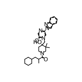 CC(CC1CCCCC1)C(=O)N1CCC(O)(Cn2cc(-n3cc4ccccc4n3)ncc2=O)C(C)(C)C1